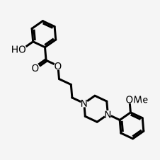 COc1ccccc1N1CCN(CCCOC(=O)c2ccccc2O)CC1